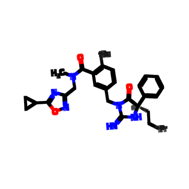 CC(C)CC[C@]1(c2ccccc2)NC(=N)N(Cc2ccc(C(C)(C)C)c(C(=O)N(C)Cc3noc(C4CC4)n3)c2)C1=O